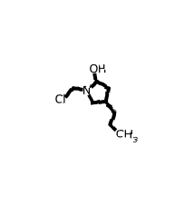 CCCC1CC(O)N(CCl)C1